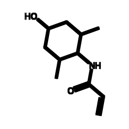 C=CC(=O)NC1C(C)CC(O)CC1C